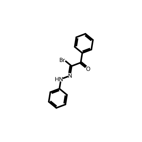 O=C(/C(Br)=N/Nc1ccccc1)c1ccccc1